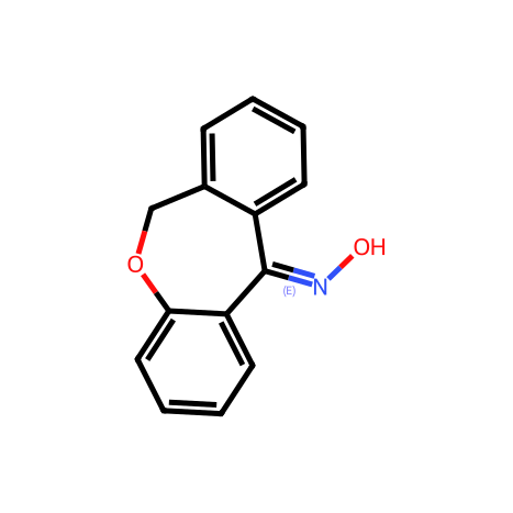 O/N=C1\c2ccccc2COc2ccccc21